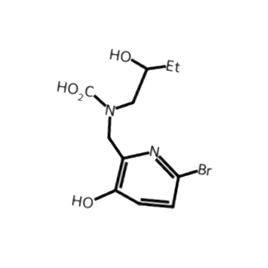 CCC(O)CN(Cc1nc(Br)ccc1O)C(=O)O